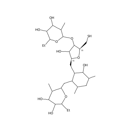 CCC1OC(CC2C(C)CC(C)C(O)C2C[C@@H]2O[C@H](CS)C(OC3OC(CC)C(O)C(O)C3C)C2O)C(C)C(O)C1O